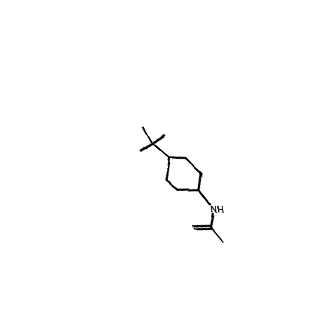 C=C(C)NC1CCC(C(C)(C)C)CC1